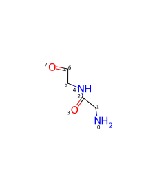 NCC(=O)NC[C]=O